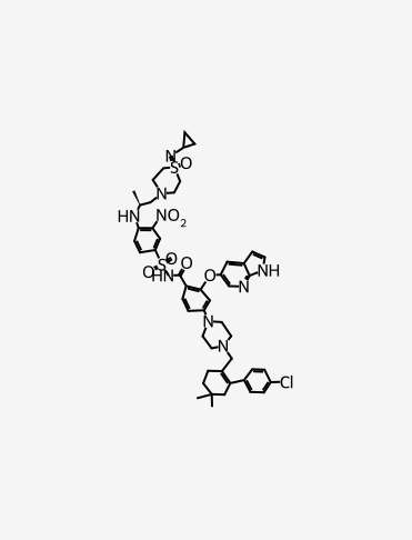 C[C@@H](CN1CCS(=O)(=NC2CC2)CC1)Nc1ccc(S(=O)(=O)NC(=O)c2ccc(N3CCN(CC4=C(c5ccc(Cl)cc5)CC(C)(C)CC4)CC3)cc2Oc2cnc3[nH]ccc3c2)cc1[N+](=O)[O-]